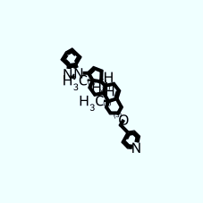 C[C@]12CC[C@H](OCc3ccncc3)CC1=CC[C@@H]1[C@@H]2CC[C@]2(C)C(n3cnc4ccccc43)=CC[C@@H]12